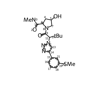 CNC(=O)[C@H]1CC(O)CN1C(=O)C(n1cc(-c2cccc(SC)c2)nn1)C(C)(C)C